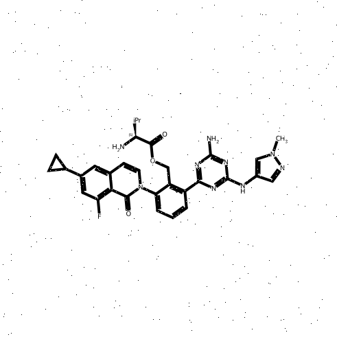 CC(C)[C@H](N)C(=O)OCc1c(-c2nc(N)nc(Nc3cnn(C)c3)n2)cccc1-n1ccc2cc(C3CC3)cc(F)c2c1=O